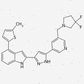 Cc1ccc(-c2cccc3[nH]c(-c4cc(-c5cncc(CN6CCC(F)(F)C6)c5)[nH]n4)cc23)s1